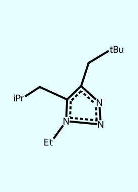 CCn1nnc(CC(C)(C)C)c1CC(C)C